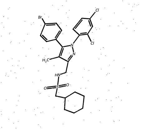 Cc1c(CNS(=O)(=O)CC2CCCCC2)nn(-c2ccc(Cl)cc2Cl)c1-c1ccc(Br)cc1